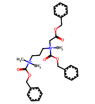 [BH3-][N+](C)(CCC[N+]([BH3-])(CC(=O)OCc1ccccc1)C(=O)OCc1ccccc1)C(=O)OCc1ccccc1